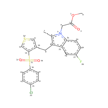 COC(=O)Cn1c(C)c(Cc2cscc2S(=O)(=O)c2ccc(Cl)cc2)c2cc(F)ccc21